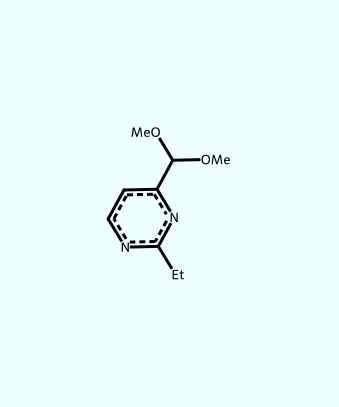 CCc1nccc(C(OC)OC)n1